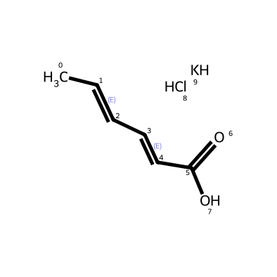 C/C=C/C=C/C(=O)O.Cl.[KH]